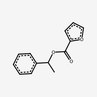 CC(OC(=O)c1ccco1)c1ccccc1